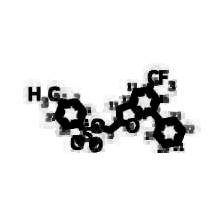 Cc1ccc(S(=O)(=O)OCC2Cc3cc(C(F)(F)F)cc(-c4ccccc4)c3O2)cc1